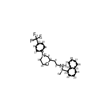 C[C@@H](NCCC1CN(c2ccc(C(F)(F)F)cc2)CCO1)c1cccc2ccccc12